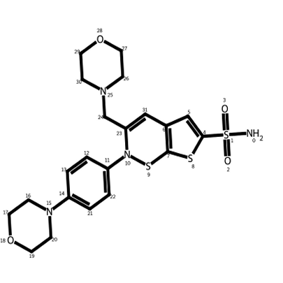 NS(=O)(=O)c1cc2c(s1)SN(c1ccc(N3CCOCC3)cc1)C(CN1CCOCC1)=C2